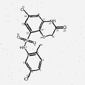 Cc1ccc(Cl)cc1NS(=O)(=O)c1cc(Cl)cc2c1OCC(=O)N2